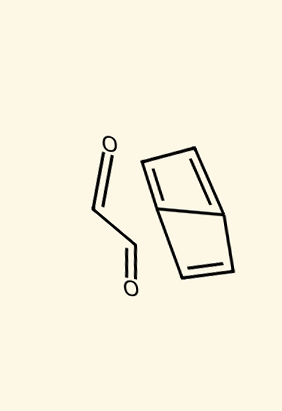 O=CC=O.c1cc2ccc1-2